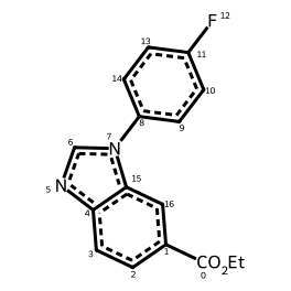 CCOC(=O)c1ccc2ncn(-c3ccc(F)cc3)c2c1